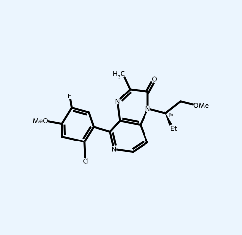 CC[C@H](COC)n1c(=O)c(C)nc2c(-c3cc(F)c(OC)cc3Cl)nccc21